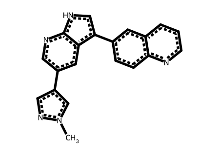 Cn1cc(-c2cnc3[nH]cc(-c4ccc5ncccc5c4)c3c2)cn1